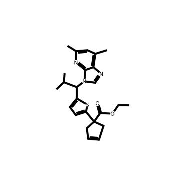 CCOC(=O)C1(c2ccc(C(C(C)C)n3cnc4c(C)cc(C)nc43)s2)CC=CC1